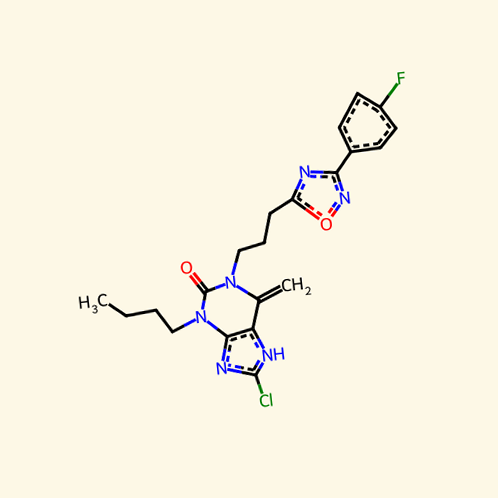 C=C1c2[nH]c(Cl)nc2N(CCCC)C(=O)N1CCCc1nc(-c2ccc(F)cc2)no1